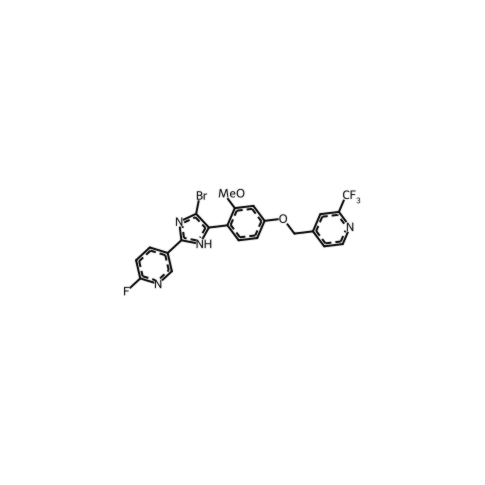 COc1cc(OCc2ccnc(C(F)(F)F)c2)ccc1-c1[nH]c(-c2ccc(F)nc2)nc1Br